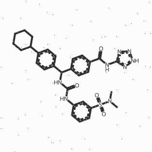 CN(C)S(=O)(=O)c1cccc(NC(=O)NC(c2ccc(C(=O)Nc3nn[nH]n3)cc2)c2ccc(C3CCCCC3)cc2)c1